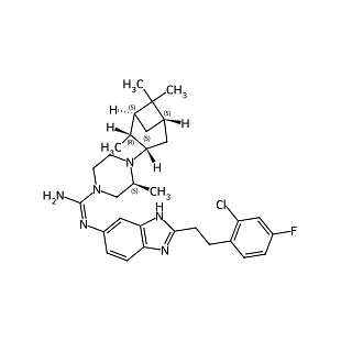 C[C@H]1[C@@H](N2CCN(C(N)=Nc3ccc4nc(CCc5ccc(F)cc5Cl)[nH]c4c3)C[C@@H]2C)C[C@@H]2C[C@@H]1C2(C)C